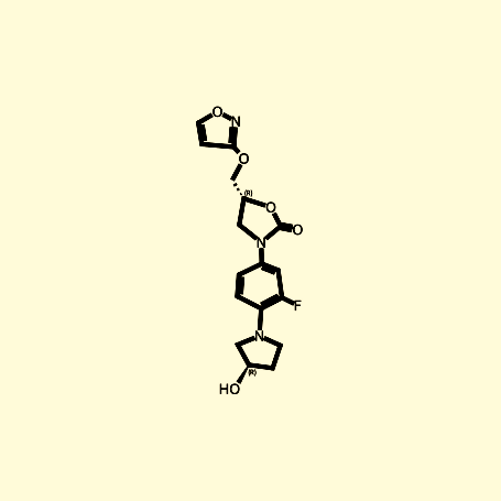 O=C1O[C@@H](COc2ccon2)CN1c1ccc(N2CC[C@@H](O)C2)c(F)c1